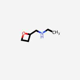 CCNCC1CCO1